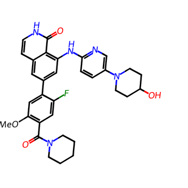 COc1cc(-c2cc(Nc3ccc(N4CCC(O)CC4)cn3)c3c(=O)[nH]ccc3c2)c(F)cc1C(=O)N1CCCCC1